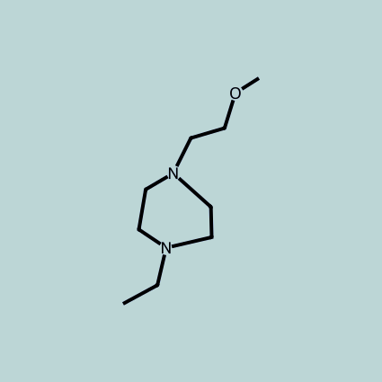 CCN1CCN(CCOC)CC1